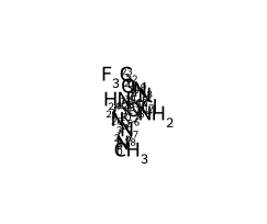 CN1CCN(C(CC(N)=O)c2cc(Nc3cc(Cl)nnc3OCC(F)(F)F)ccn2)CC1